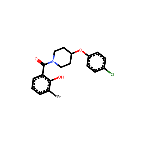 CC(C)c1cccc(C(=O)N2CCC(Oc3ccc(Cl)cc3)CC2)c1O